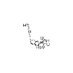 O=c1[nH][s+]([O-])n(-c2cc3cc(CCCOCCO)ccc3cc2O)c1=O